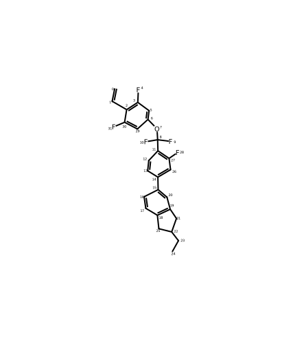 C=Cc1c(F)cc(OC(F)(F)c2ccc(-c3ccc4c(c3)CC(CC)C4)cc2F)cc1F